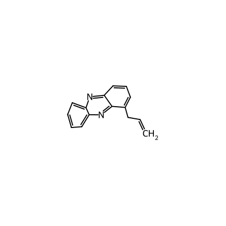 C=CCc1cccc2nc3ccccc3nc12